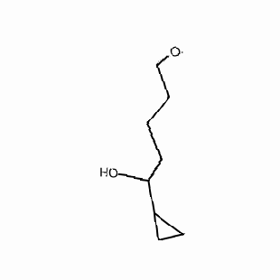 [O]CCCCC(O)C1CC1